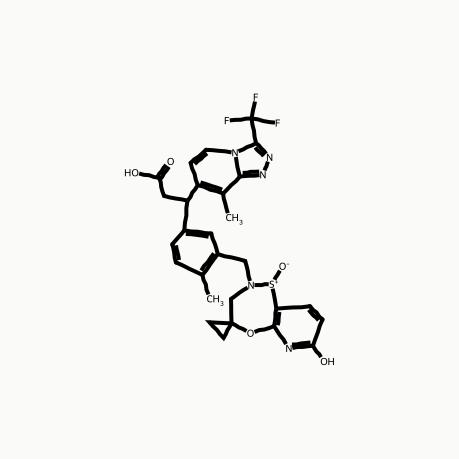 Cc1ccc(C(CC(=O)O)c2ccn3c(C(F)(F)F)nnc3c2C)cc1CN1CC2(CC2)Oc2nc(O)ccc2[S+]1[O-]